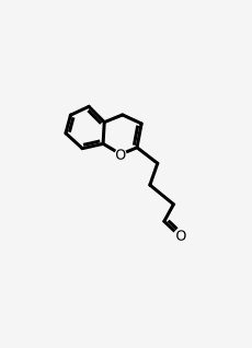 O=CCCCC1=CCc2ccccc2O1